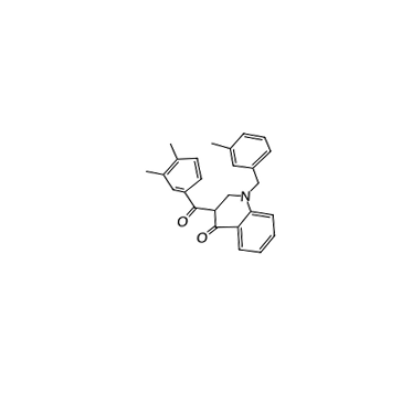 Cc1cccc(CN2CC(C(=O)c3ccc(C)c(C)c3)C(=O)c3ccccc32)c1